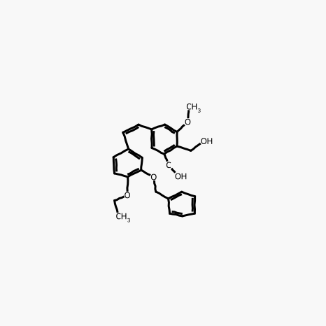 CCOc1ccc(/C=C\c2cc(CO)c(CO)c(OC)c2)cc1OCc1ccccc1